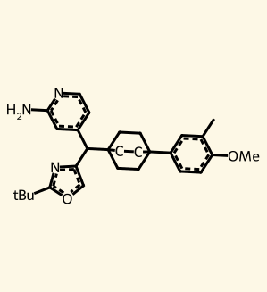 COc1ccc(C23CCC(C(c4ccnc(N)c4)c4coc(C(C)(C)C)n4)(CC2)CC3)cc1C